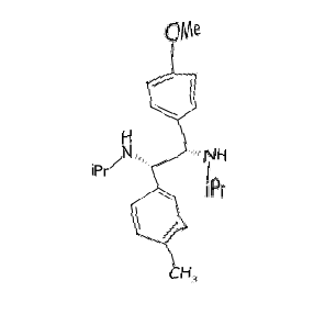 COc1ccc([C@H](NC(C)C)[C@@H](NC(C)C)c2ccc(C)cc2)cc1